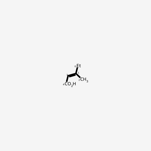 CC/C(C)=C/C(=O)O